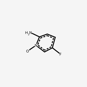 Nc1ccc(F)c[n+]1[O-]